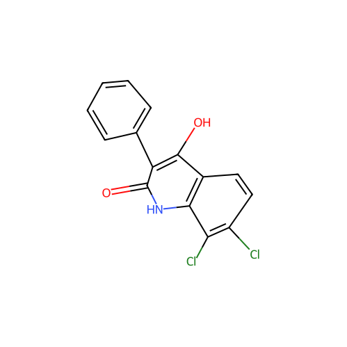 O=c1[nH]c2c(Cl)c(Cl)ccc2c(O)c1-c1ccccc1